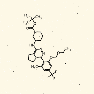 CCOCOc1cc(C(F)(F)F)cc(C)c1-c1nnc(N[C@@H]2CCCN(C(=O)OC(C)(C)C)C2)c2c1CCC2